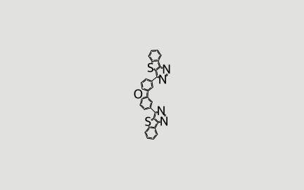 c1ccc2c(c1)sc1c(-c3ccc4oc5ccc(-c6ncnc7c6sc6ccccc67)cc5c4c3)ncnc12